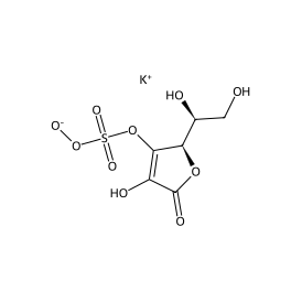 O=C1O[C@H]([C@@H](O)CO)C(OS(=O)(=O)O[O-])=C1O.[K+]